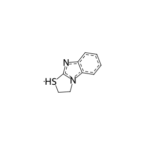 c1ccc2c(c1)nc1n2CC[SH]1